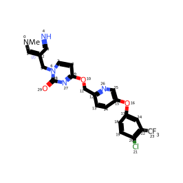 CN/C=C(\C=N)Cn1ccc(OCc2ccc(Oc3ccc(Cl)c(C(F)(F)F)c3)cn2)nc1=O